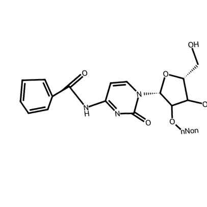 CCCCCCCCCOC1C(O)[C@@H](CO)O[C@H]1n1ccc(NC(=O)c2ccccc2)nc1=O